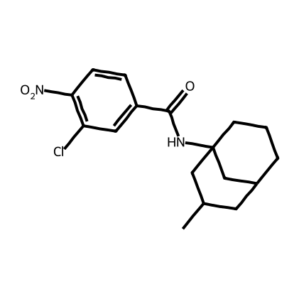 CC1CC2CCCC(NC(=O)c3ccc([N+](=O)[O-])c(Cl)c3)(C1)C2